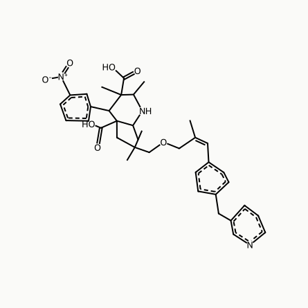 CC(=Cc1ccc(Cc2cccnc2)cc1)COCC(C)(C)CC1(C(=O)O)C(C)NC(C)C(C)(C(=O)O)C1c1cccc([N+](=O)[O-])c1